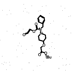 CC(C)(C)OC(=O)COC1CCN(N(Cc2ccccc2)C(=O)OC=C=O)CC1